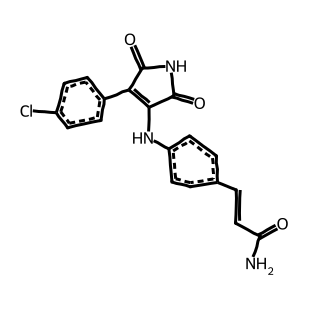 NC(=O)C=Cc1ccc(NC2=C(c3ccc(Cl)cc3)C(=O)NC2=O)cc1